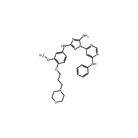 COc1cc(Nc2nc(N)n(-c3cc(Nc4ccccc4)ncn3)n2)ccc1OCCCN1CCOCC1